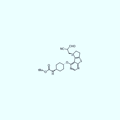 CC(C)(C)OC(=O)N[C@H]1CC[C@H](Oc2ncnc3sc4c(c23)[C@@H](CC(C#N)C=O)CC4)CC1